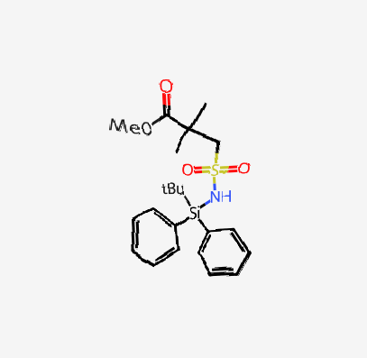 COC(=O)C(C)(C)CS(=O)(=O)N[Si](c1ccccc1)(c1ccccc1)C(C)(C)C